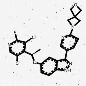 C[C@@H](Oc1ccc2[nH]nc(-c3ccc(N4CC5(COC5)C4)nc3)c2c1)c1c(Cl)cnc(F)c1Cl